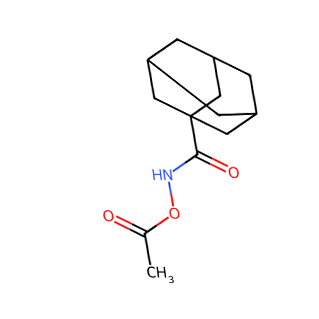 CC(=O)ONC(=O)C12CC3CC(CC(C3)C1)C2